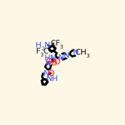 CN1CCC(N2CCN(C(=O)C(Cc3cc(C(F)(F)F)c(N)c(C(F)(F)F)c3)NC(=O)ON3CCC(N4CCc5ccccc5NC4=O)CC3)CC2)CC1